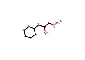 CCCOCC(O)CC1CCCCC1